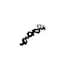 C=CC1CCC(/C=C/C2CCC(C3CCC(/C(F)=C/C(F)(F)F)CC3)CC2)CC1